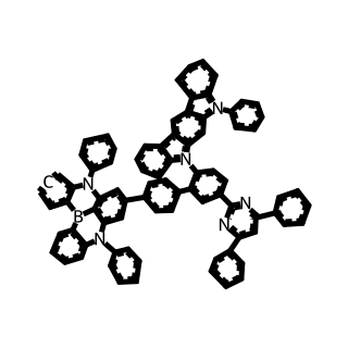 c1ccc(-c2cc(-c3ccccc3)nc(-c3ccc(-n4c5ccccc5c5cc6c7ccccc7n(-c7ccccc7)c6cc54)c(-c4ccc(-c5cc6c7c(c5)N(c5ccccc5)c5ccccc5B7c5ccccc5N6c5ccccc5)cc4)c3)n2)cc1